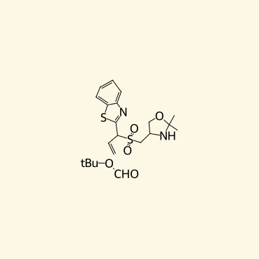 C=CC(c1nc2ccccc2s1)S(=O)(=O)CC1COC(C)(C)N1.CC(C)(C)OC=O